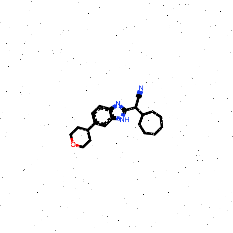 N#CC(c1nc2ccc(C3CCOCC3)cc2[nH]1)C1CCCCCC1